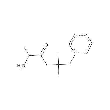 CC(N)C(=O)CC(C)(C)Cc1ccccc1